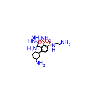 NCCNSc1ccc(C2CCCC(N)C2)c(/C(N)=N/NN)c1S(N)(=O)=O